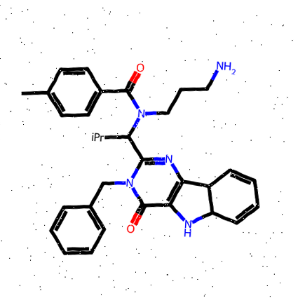 Cc1ccc(C(=O)N(CCCN)C(c2nc3c(c(=O)n2Cc2ccccc2)NC2C=CC=CC32)C(C)C)cc1